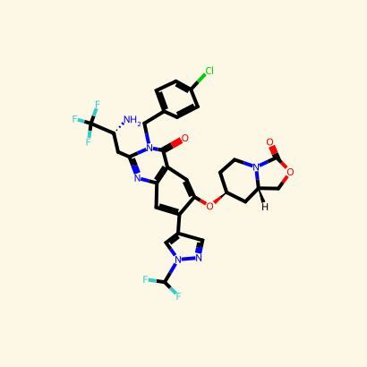 N[C@H](Cc1nc2cc(-c3cnn(C(F)F)c3)c(O[C@H]3CCN4C(=O)OC[C@@H]4C3)cc2c(=O)n1Cc1ccc(Cl)cc1)C(F)(F)F